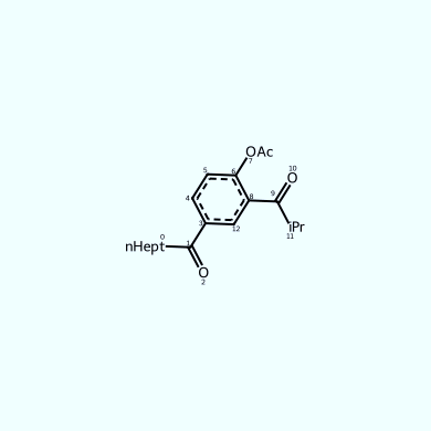 CCCCCCCC(=O)c1ccc(OC(C)=O)c(C(=O)C(C)C)c1